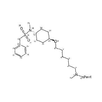 CCCCCN(C)CCCCCCO[C@H]1CC[C@H](N(C)S(=O)(=O)Cc2ccccc2)CC1